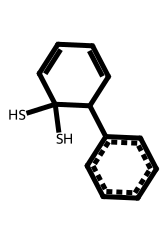 SC1(S)C=CC=CC1c1ccccc1